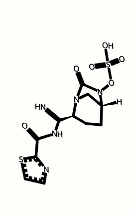 N=C(NC(=O)c1nccs1)[C@@H]1CC[C@@H]2CN1C(=O)N2OS(=O)(=O)O